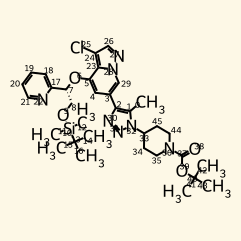 Cc1c(-c2cc(O[C@H](CO[Si](C)(C)C(C)(C)C)c3ccccn3)c3c(Cl)cnn3c2)nnn1C1CCN(C(=O)OC(C)(C)C)CC1